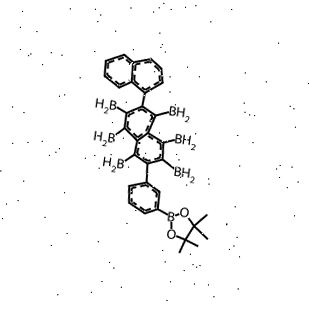 Bc1c(-c2cccc3ccccc23)c(B)c2c(B)c(B)c(-c3cccc(B4OC(C)(C)C(C)(C)O4)c3)c(B)c2c1B